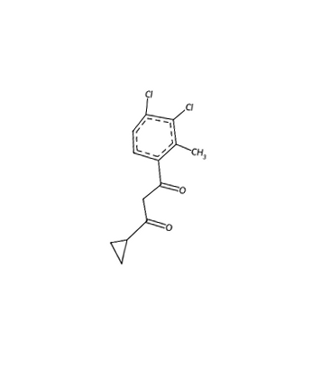 Cc1c(C(=O)CC(=O)C2CC2)ccc(Cl)c1Cl